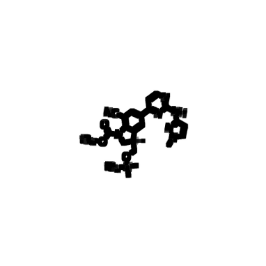 Cn1ccc(Nc2nccc(-c3cc(C#N)c4c(c3)[C@@](C)(CO[Si](C)(C)C(C)(C)C)CN4C(=O)OC(C)(C)C)n2)n1